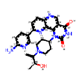 C=C([C@H](C)O)N1CCC(n2c(=O)[nH]c(=O)c3cnc4ccc(-c5ccc(N)nc5)nc4c32)CC1